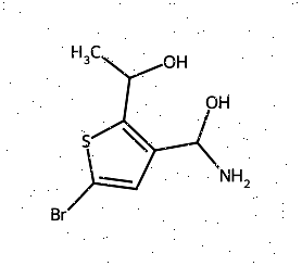 CC(O)c1sc(Br)cc1C(N)O